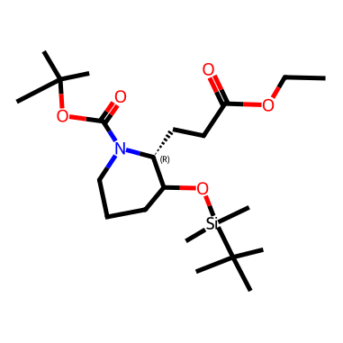 CCOC(=O)CC[C@@H]1C(O[Si](C)(C)C(C)(C)C)CCCN1C(=O)OC(C)(C)C